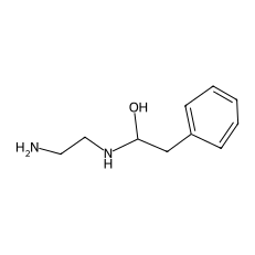 NCCNC(O)Cc1ccccc1